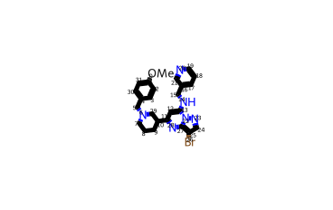 COc1ccc(CN2CCCC(c3cc(NCc4cccnc4)n4ncc(Br)c4n3)C2)cc1